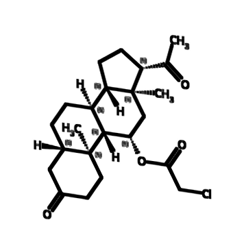 CC(=O)[C@H]1CC[C@H]2[C@@H]3CC[C@H]4CC(=O)CC[C@]4(C)[C@H]3[C@@H](OC(=O)CCl)C[C@]12C